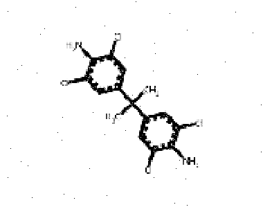 CC(C)(c1cc(Cl)c(N)c(Cl)c1)c1cc(Cl)c(N)c(Cl)c1